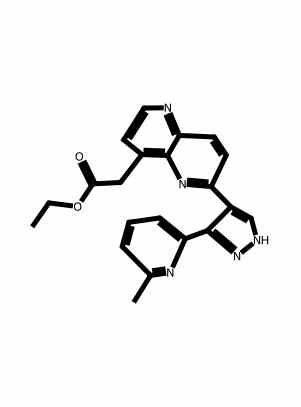 CCOC(=O)Cc1ccnc2ccc(-c3c[nH]nc3-c3cccc(C)n3)nc12